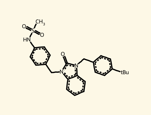 CC(C)(C)c1ccc(Cn2c(=O)n(Cc3ccc(NS(C)(=O)=O)cc3)c3ccccc32)cc1